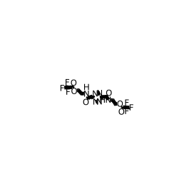 O=C(NCCOC(=O)C(F)(F)F)c1nnc(C(=O)NCCOC(=O)C(F)(F)F)nn1